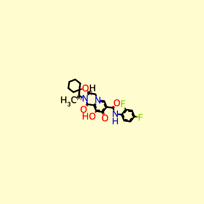 C[C@H]1N2C(=O)c3c(O)c(=O)c(C(=O)Nc4ccc(F)cc4F)cn3C[C@@H]2OC12CCCCC2